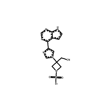 CCS(=O)(=O)N1CC(CC#N)(n2cnc(-c3ncnc4[nH]ccc34)c2)C1